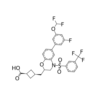 O=C(O)[C@H]1C[C@@H](CC2CN(S(=O)(=O)c3cccc(C(F)(F)F)c3)c3cc(-c4cc(F)cc(OC(F)F)c4)ccc3O2)C1